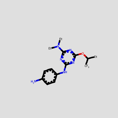 CCC(Oc1nc(Nc2ccc(N)cc2)nc(N(CC)CC)n1)C(F)(F)F